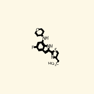 O=C(O)CC1CSC(c2cc3cc(F)cc(NC4CCOCC4)c3[nH]2)=N1